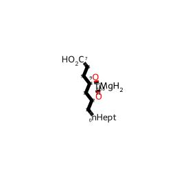 CCCCCCCCCCCCCC(=O)O.[MgH2].[O]=[Ti]=[O]